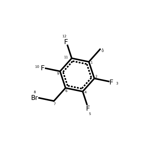 [CH2]c1c(F)c(F)c(CBr)c(F)c1F